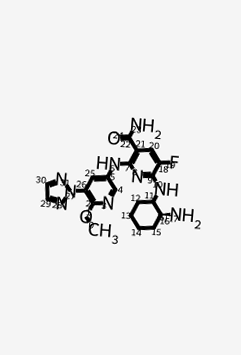 COc1ncc(Nc2nc(NC3CCCC[C@@H]3N)c(F)cc2C(N)=O)cc1-n1nccn1